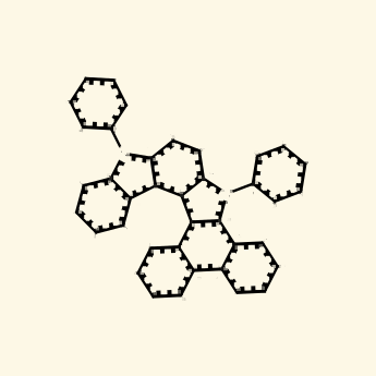 c1ccc(-n2c3ccccc3c3c4c5c6ccccc6c6ccccc6c5n(-c5ccccc5)c4ccc32)cc1